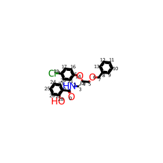 O=C(NC[C@@H](COCc1ccccc1)Oc1ccc(Cl)cc1)c1ccccc1O